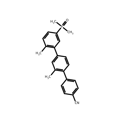 Cc1cc(-c2cc(P(C)(C)=O)ccc2C)ccc1-c1ccc(C#N)cc1